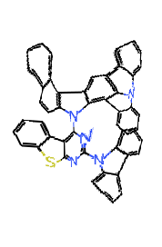 c1ccc2c(c1)ccc1c2c2cc3c4ccccc4n4c5ccccc5c(c2n1-c1nc(-n2c5ccccc5c5ccccc52)nc2sc5ccccc5c12)c34